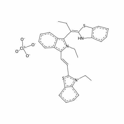 CCC(=C1Nc2ccccc2S1)c1c2ccccc2c(C=Cc2sc3ccccc3[n+]2CC)n1CC.[O-][Cl+3]([O-])([O-])[O-]